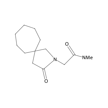 CNC(=O)CN1CC2(CCCCCC2)CC1=O